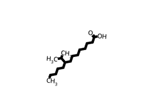 CCCCCC(CCCCCCCC(=O)O)C(C)C